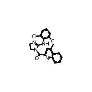 Cc1cc(C(=O)N2CCN=C2Nc2c(Cl)cccc2Cl)nc2ccccc12